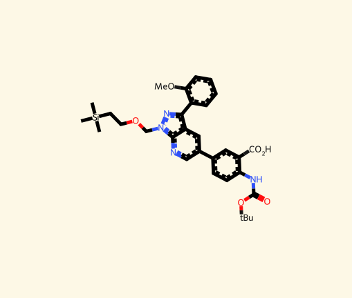 COc1ccccc1-c1nn(COCC[Si](C)(C)C)c2ncc(-c3ccc(NC(=O)OC(C)(C)C)c(C(=O)O)c3)cc12